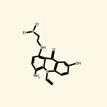 C=Cn1c2ccc(O)cc2c(=O)c2c(NCCN(CC)CC)ccc(N)c21